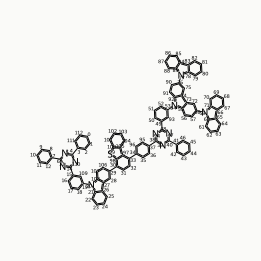 c1ccc(-c2nc(-c3ccccc3)nc(-c3cccc(-n4c5ccccc5c5cc(-c6ccc(-c7ccc(-c8nc(-c9ccccc9)nc(-c9cccc(-n%10c%11ccc(-n%12c%13ccccc%13c%13ccccc%13%12)cc%11c%11cc(-n%12c%13ccccc%13c%13ccccc%13%12)ccc%11%10)c9)n8)cc7)c7c6sc6ccccc67)ccc54)c3)n2)cc1